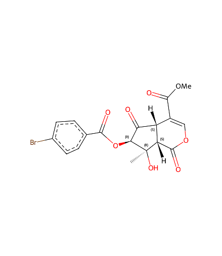 COC(=O)C1=COC(=O)[C@H]2[C@@H]1C(=O)[C@H](OC(=O)c1ccc(Br)cc1)[C@]2(C)O